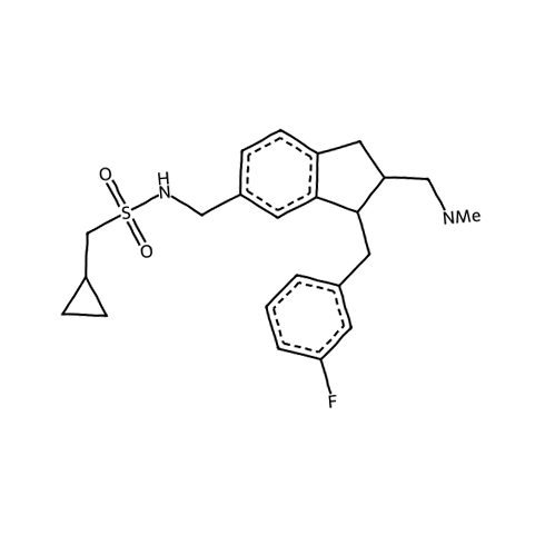 CNCC1Cc2ccc(CNS(=O)(=O)CC3CC3)cc2C1Cc1cccc(F)c1